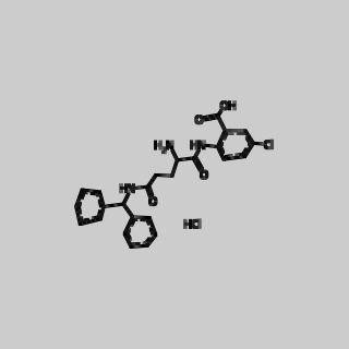 Cl.NC(CCC(=O)NC(c1ccccc1)c1ccccc1)C(=O)Nc1ccc(Cl)cc1C(=O)O